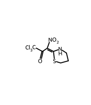 O=C(C(=C1NCCCS1)[N+](=O)[O-])C(Cl)(Cl)Cl